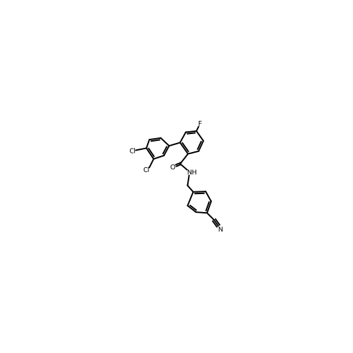 N#Cc1ccc(CNC(=O)c2ccc(F)cc2-c2ccc(Cl)c(Cl)c2)cc1